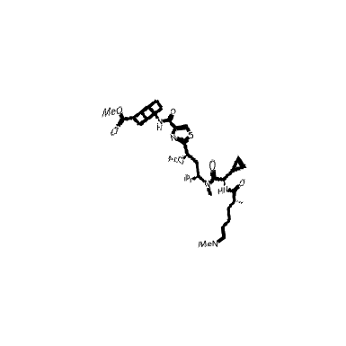 CNCCCC[C@@H](C)C(=O)N[C@H](C(=O)N(C)[C@H](C[C@@H](OC(C)=O)c1nc(C(=O)NC23C4C5C2C2C3C4C52C(=O)OC)cs1)C(C)C)C1CC1